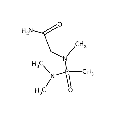 CN(C)P(C)(=O)N(C)CC(N)=O